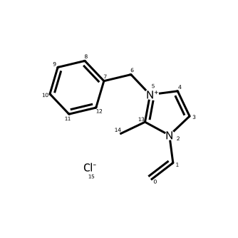 C=Cn1cc[n+](Cc2ccccc2)c1C.[Cl-]